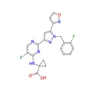 O=C(O)C1(Nc2nc(-c3cc(-c4ccon4)n(Cc4ccccc4F)n3)ncc2F)CC1